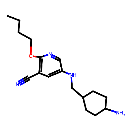 CCCCOc1ncc(NCC2CCC(N)CC2)cc1C#N